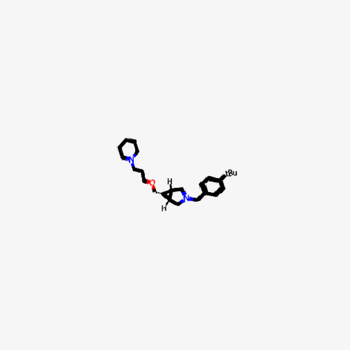 CC(C)(C)c1ccc(CN2C[C@@H]3[C@H](COCCCN4CCCCC4)[C@@H]3C2)cc1